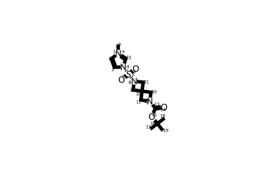 C[n+]1ccn(S(=O)(=O)N2CC3(CN(C(=O)OC(C)(C)C)C3)C2)c1